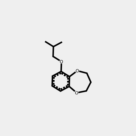 CC(C)COc1cccc2c1OCCCO2